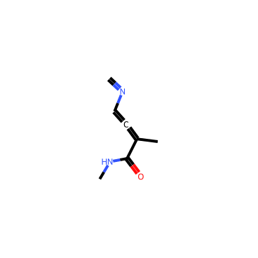 C=NC=C=C(C)C(=O)NC